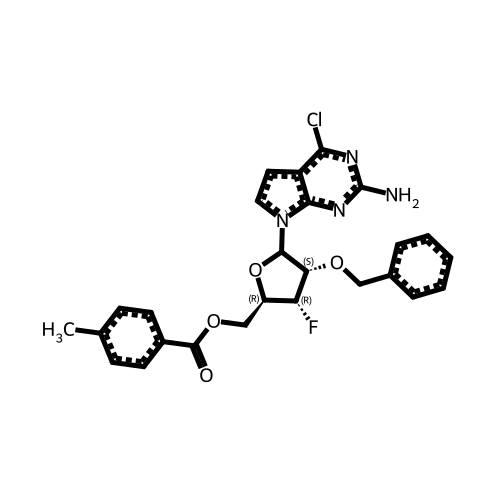 Cc1ccc(C(=O)OC[C@H]2OC(n3ccc4c(Cl)nc(N)nc43)[C@H](OCc3ccccc3)[C@@H]2F)cc1